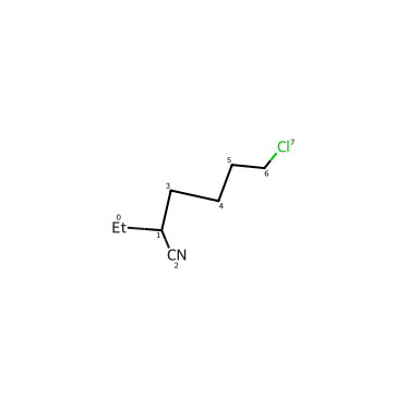 CCC(C#N)CCCCCl